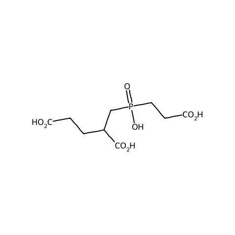 O=C(O)CCC(CP(=O)(O)CCC(=O)O)C(=O)O